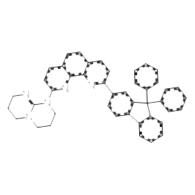 c1ccc(C2(c3ccccc3)c3ccccc3-c3ccc(-c4ccc5ccc6ccc(N7CCCN8CCCN=C87)nc6c5n4)cc32)cc1